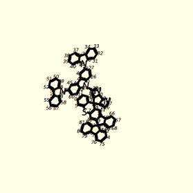 c1ccc2c(c1)Sc1cc3c(cc1C21c2cccnc2-c2ncc(-n4c5ccc(-n6c7ccccc7c7ccccc76)cc5c5cc(-n6c7ccccc7c7ccccc76)ccc54)cc21)-c1ccccc1C31c2ccccc2-c2ccccc21